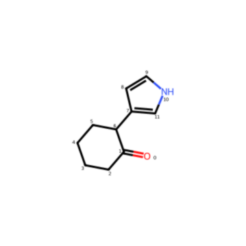 O=C1CCCCC1c1cc[nH]c1